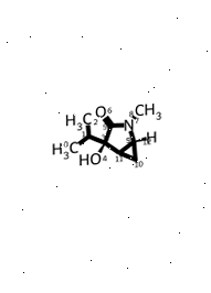 CC(C)[C@]1(O)C(=O)N(C)[C@@H]2CC21